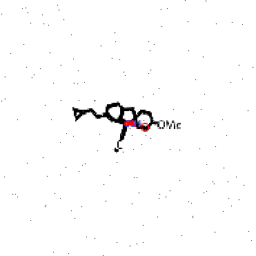 C=C=C1NC(=O)C2(N1)c1cc(CCC3CC3)ccc1CC21CCC(OC)CC1